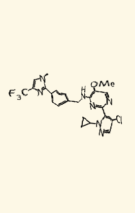 COc1cnc(-c2c(Cl)cnn2C2CC2)nc1NCc1ccc(-c2nc(C(F)(F)F)cn2C)cc1